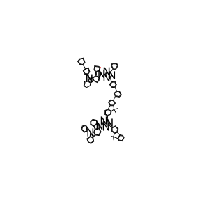 CC1(C)c2ccccc2-c2ccc(-c3nc(-c4ccc5c(c4)C(C)(C)c4cc(-c6cccc(-c7ccc(-c8nc(-c9ccccc9)nc(-n9c%10ccccc%10c%10c%11c(ccc%109)c9c(n%11-c%10ccc(-c%11ccccc%11)cc%10)C=CCC9)n8)cc7)c6)ccc4-5)nc(-n4c5ccccc5c5c4ccc4c6ccccc6n(-c6ccccc6)c45)n3)cc21